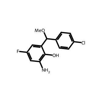 COC(c1ccc(Cl)cc1)c1cc(F)cc(N)c1O